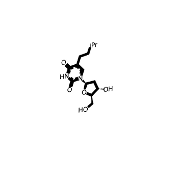 CC(C)CCc1cn([C@H]2C[C@H](O)[C@@H](CO)O2)c(=O)[nH]c1=O